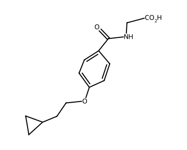 O=C(O)CNC(=O)c1ccc(OCCC2CC2)cc1